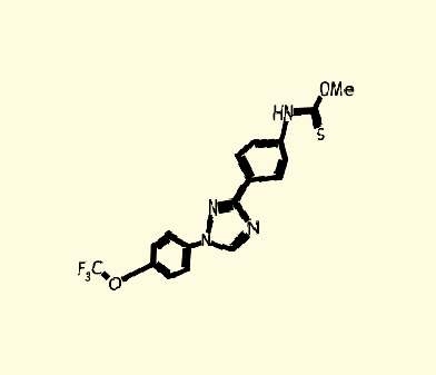 COC(=S)Nc1ccc(-c2ncn(-c3ccc(OC(F)(F)F)cc3)n2)cc1